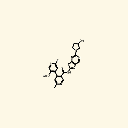 COc1cnc(Cl)cc1-c1cc(C)ncc1C(=O)Nc1nc2cnc(N3CC[C@@H](O)C3)nc2s1